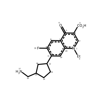 CCn1cc(C(=O)O)c(=O)c2cc(F)c(C3CCC(CN)C3)cc21